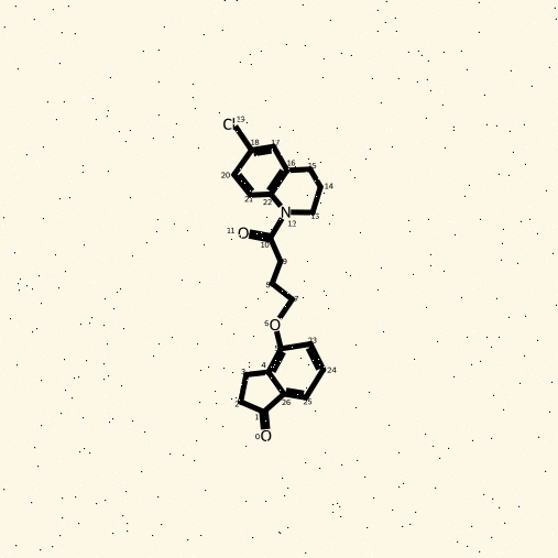 O=C1CCc2c(OCCCC(=O)N3CCCc4cc(Cl)ccc43)cccc21